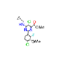 COC(=O)c1nc(-c2ccc(Cl)c(OC)c2F)nc(NCC2CC2)c1Cl